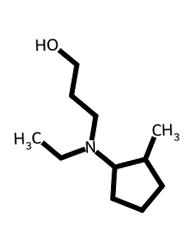 CCN(CCCO)C1CCCC1C